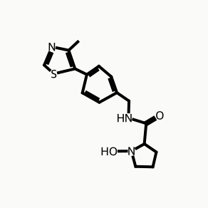 Cc1ncsc1-c1ccc(CNC(=O)C2CCCN2O)cc1